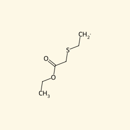 [CH2]CSCC(=O)OCC